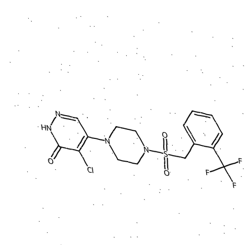 O=c1[nH]ncc(N2CCN(S(=O)(=O)Cc3ccccc3C(F)(F)F)CC2)c1Cl